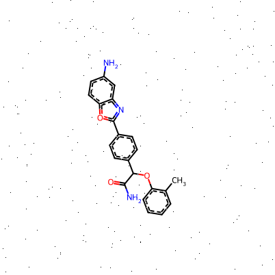 Cc1ccccc1OC(C(N)=O)c1ccc(-c2nc3cc(N)ccc3o2)cc1